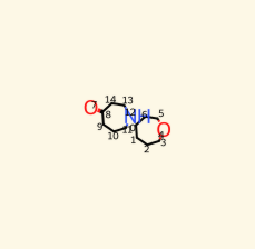 C1CCCOCC1.O=C1CCCNCC1